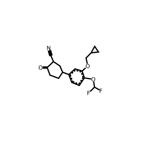 N#CC1CC(c2ccc(OC(F)F)c(OCC3CC3)c2)CCC1=O